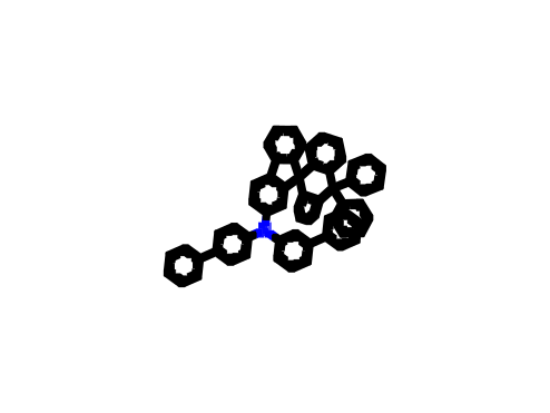 c1ccc(-c2ccc(N(c3cccc(-c4ccccc4)c3)c3ccc4c(c3)C3(c5ccccc5-4)c4ccccc4C(c4ccccc4)(c4ccccc4)c4ccccc43)cc2)cc1